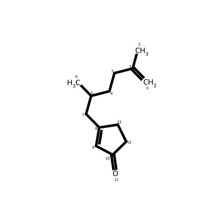 C=C(C)CCC(C)CC1=CC(=O)CC1